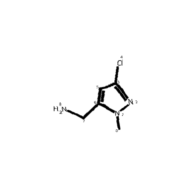 Cn1nc(Cl)cc1CN